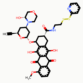 C#C[C@H]1C[C@@H](N2CCOC[C@H]2O)C[C@H](OC2C[C@H](C(=O)NCCSSc3ccccn3)Cc3c(O)c4c(c(O)c32)C(=O)c2c(OC)cccc2C4=O)O1